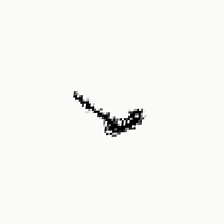 CCCCCCCCCCCCCC(=O)OC(C)COCc1ccccc1